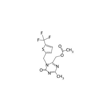 CC(=O)OCc1nc(C)nc(=O)n1Cc1ccc(C(F)(F)F)s1